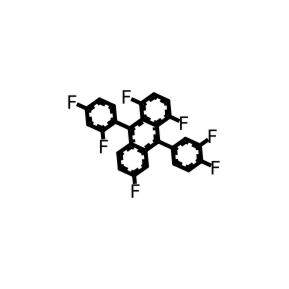 Fc1ccc(-c2c3ccc(F)cc3c(-c3ccc(F)c(F)c3)c3c(F)ccc(F)c23)c(F)c1